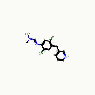 CCN(C)C=Nc1cc(Cl)c(Cc2cccnc2)cc1Cl